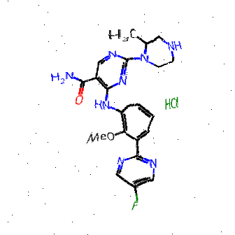 COc1c(Nc2nc(N3CCNCC3C)ncc2C(N)=O)cccc1-c1ncc(F)cn1.Cl